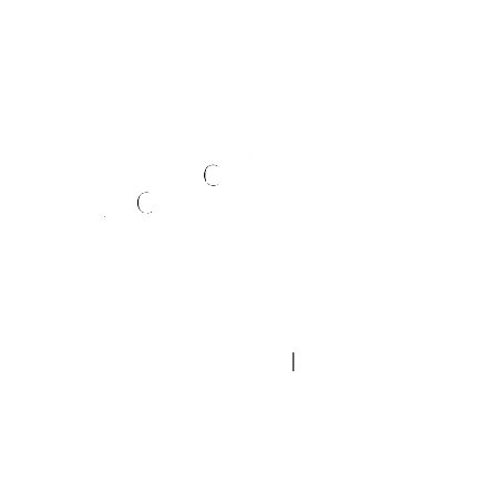 CC(I)C1CC2CCC1CC2